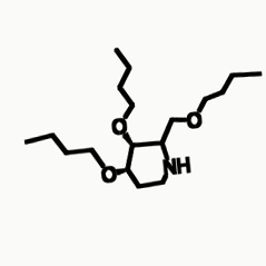 CCCCOCC1NCC[C@@H](OCCCC)[C@H]1OCCCC